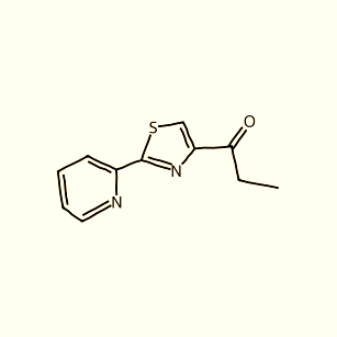 CCC(=O)c1csc(-c2ccccn2)n1